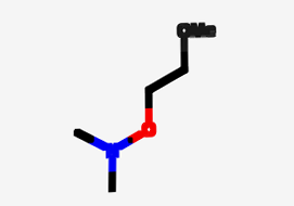 COCCON(C)C